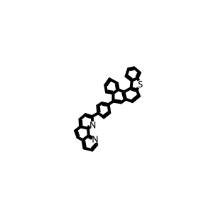 c1cnc2c(c1)ccc1ccc(-c3ccc(-c4cc5ccc6sc7ccccc7c6c5c5ccccc45)cc3)nc12